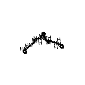 c1ccc2c(NCc3cn(CCCNCCNC4CCCCC4)nn3)nc(NCc3cn(CCCNCCCNC4CCCCC4)nn3)nc2c1